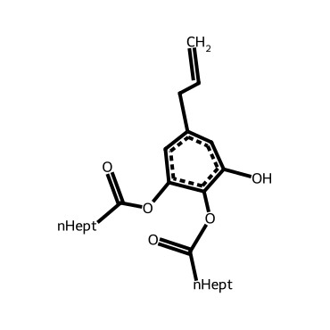 C=CCc1cc(O)c(OC(=O)CCCCCCC)c(OC(=O)CCCCCCC)c1